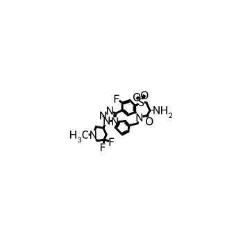 CN1CC(n2nnc(-c3cc4c(cc3F)S(=O)(=O)C[C@H](N)C(=O)N4Cc3ccccc3)n2)CC(F)(F)C1